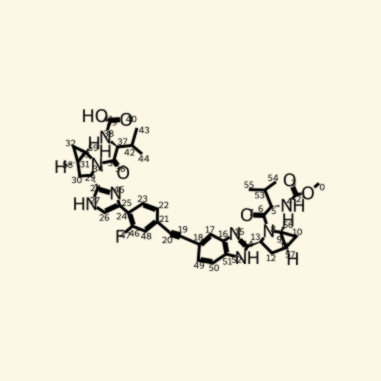 COC(=O)N[C@H](C(=O)N1[C@@H]2C[C@H]2C[C@H]1c1nc2cc(C#Cc3ccc(-c4c[nH]c([C@@H]5C[C@H]6C[C@H]6N5C(=O)[C@@H](NC(=O)O)C(C)C)n4)c(F)c3)ccc2[nH]1)C(C)C